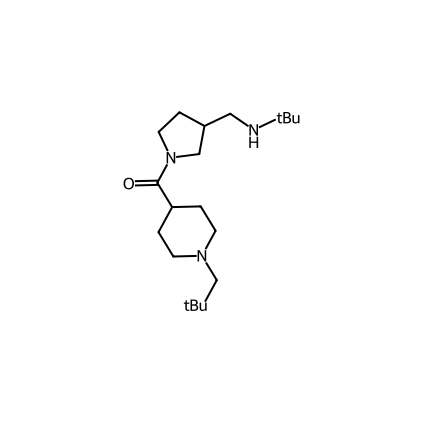 CC(C)(C)CN1CCC(C(=O)N2CCC(CNC(C)(C)C)C2)CC1